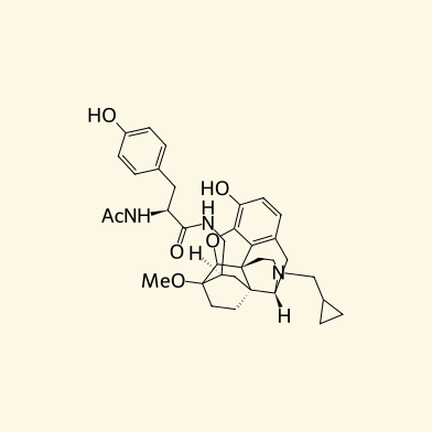 COC12CC[C@@]3(C[C@@H]1CNC(=O)[C@H](Cc1ccc(O)cc1)NC(C)=O)[C@H]1Cc4ccc(O)c5c4[C@@]3(CCN1CC1CC1)C2O5